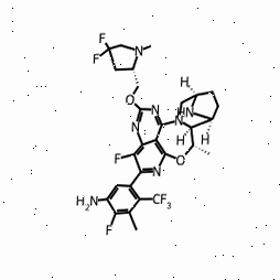 Cc1c(F)c(N)cc(-c2nc3c4c(nc(OC[C@@H]5CC(F)(F)CN5C)nc4c2F)N2C[C@H]4CC[C@H](N4)[C@H]2[C@H](C)O3)c1C(F)(F)F